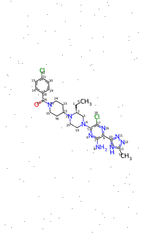 CC[C@H]1CN(c2nc(N)c(-c3nnc(C)[nH]3)nc2Cl)CCN1C1CCN(C(=O)c2ccc(Cl)cc2)CC1